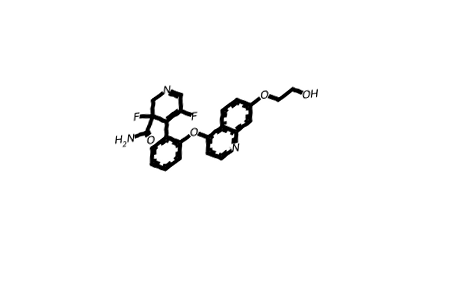 NC(=O)C1(F)CN=CC(F)=C1c1ccccc1Oc1ccnc2cc(OCCO)ccc12